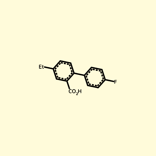 CCc1ccc(-c2ccc(F)cc2)c(C(=O)O)c1